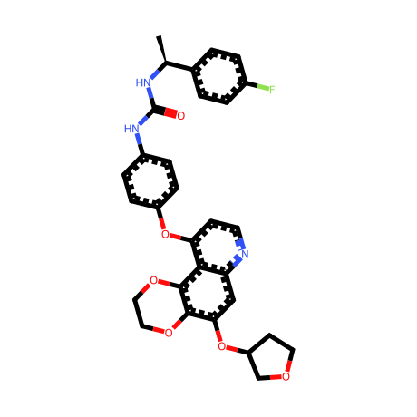 C[C@H](NC(=O)Nc1ccc(Oc2ccnc3cc(OC4CCOC4)c4c(c23)OCCO4)cc1)c1ccc(F)cc1